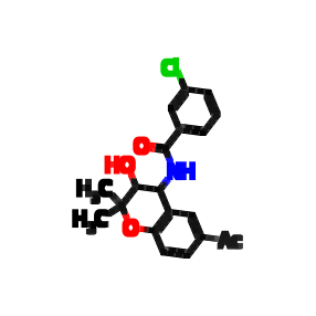 CC(=O)c1ccc2c(c1)C(NC(=O)c1cccc(Cl)c1)C(O)C(C)(C)O2